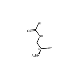 CC(=O)N[C@@H](CNC(=O)C(C)C)C(C)C